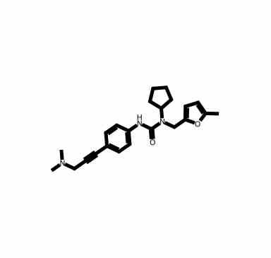 Cc1ccc(CN(C(=O)Nc2ccc(C#CCN(C)C)cc2)C2CCCC2)o1